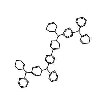 C1=CC(N(c2ccccc2)c2ccc(N(C3C=CC(c4ccc(N(c5ccccc5)C5C=CC(N(C6=CCCCC6)c6ccccc6)=CC5)cc4)=CC3)C3CC=CCC3)cc2)=CCC1